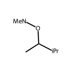 [CH2]NOC(C)C(C)C